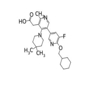 Cc1ncc(-c2cnc(OCC3CCCCC3)c(F)c2)c(N2CCC(C)(C)CC2)c1CC(=O)O